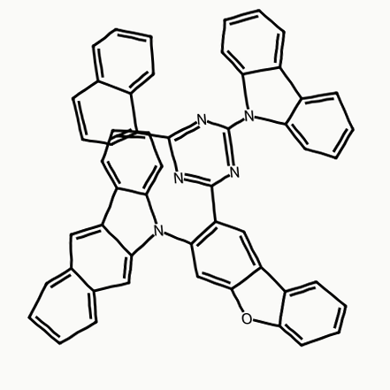 c1ccc2cc3c(cc2c1)c1ccccc1n3-c1cc2oc3ccccc3c2cc1-c1nc(-c2cccc3ccccc23)nc(-n2c3ccccc3c3ccccc32)n1